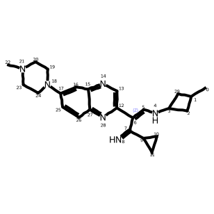 CC1CC(N/C=C(\C(=N)C2CC2)c2cnc3cc(N4CCN(C)CC4)ccc3n2)C1